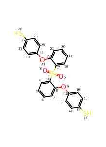 O=S(=O)(c1ccccc1Oc1ccc(S)cc1)c1ccccc1Oc1ccc(S)cc1